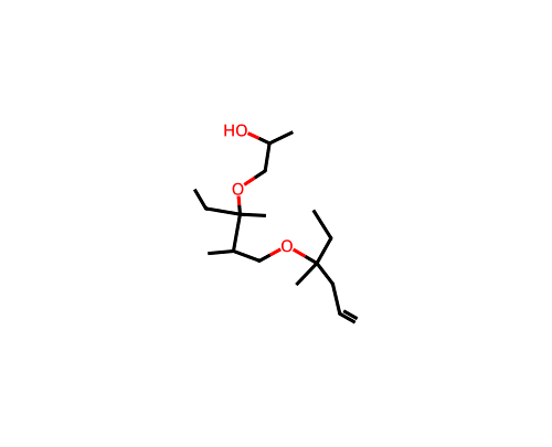 C=CCC(C)(CC)OCC(C)C(C)(CC)OCC(C)O